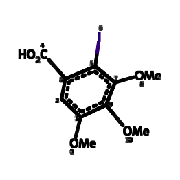 COc1cc(C(=O)O)c(I)c(OC)c1OC